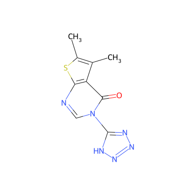 Cc1sc2ncn(-c3nnn[nH]3)c(=O)c2c1C